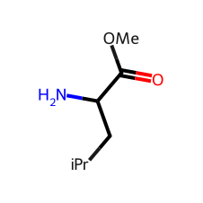 [CH2]OC(=O)C(N)CC(C)C